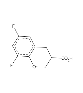 O=C(O)C1COc2c(F)cc(F)cc2C1